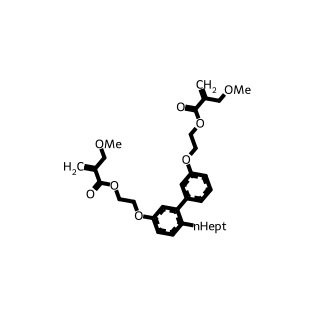 C=C(COC)C(=O)OCCOc1cccc(-c2cc(OCCOC(=O)C(=C)COC)ccc2CCCCCCC)c1